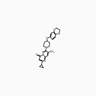 Cc1cc2nc(C3CC3)cc(=O)n2nc1N1CCC(Oc2ccc3c(c2)OCCO3)CC1